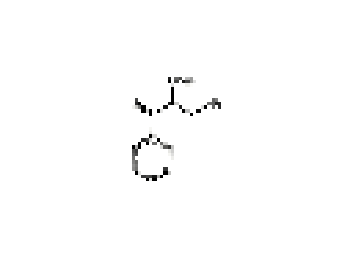 COC(CC(C)C)C(=O)c1ccccc1